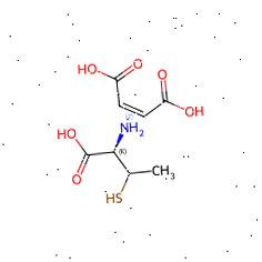 CC(S)[C@H](N)C(=O)O.O=C(O)/C=C\C(=O)O